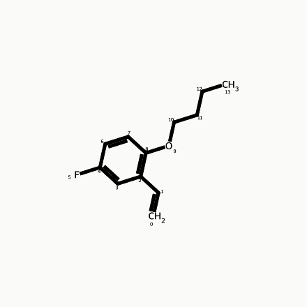 C=Cc1cc(F)ccc1OCCCC